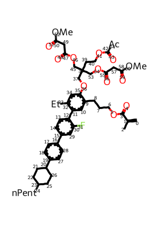 C=C(C)C(=O)OCCCc1cc(-c2ccc(-c3ccc(C4CCC(CCCCC)CC4)cc3)cc2F)c(CC)cc1OCC(CCOC(=O)C(C)=O)(COC(=O)CC(=O)OC)COC(=O)CC(=O)OC